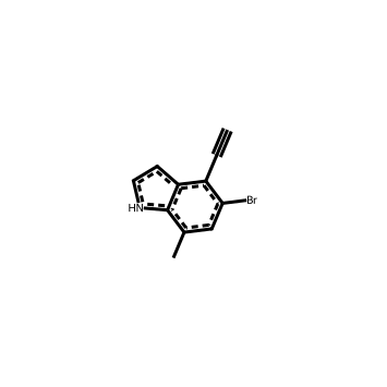 C#Cc1c(Br)cc(C)c2[nH]ccc12